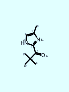 Cc1c[nH]c(C(=O)C(C)(C)C)n1